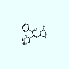 O=C(/C(=C\c1c[nH]nn1)c1c[nH]nn1)c1ccccc1